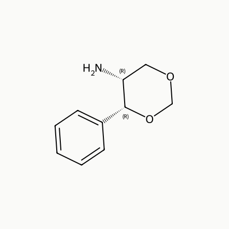 N[C@@H]1COCO[C@@H]1c1ccccc1